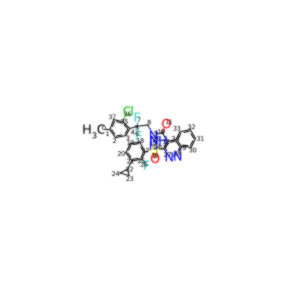 Cc1ccc(C(F)(F)CNC(=O)c2c(S(=N)(=O)c3cccc(C4CC4)c3F)nnc3ccccc23)c(Cl)c1